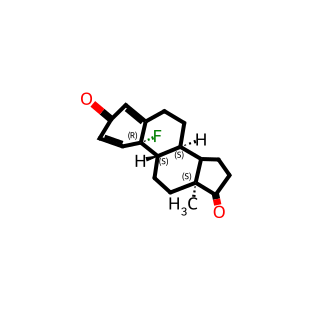 C[C@]12CC[C@H]3[C@@H](CCC4=CC(=O)C=C[C@@]43F)C1CCC2=O